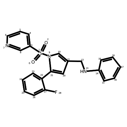 O=S(=O)(c1cccnc1)n1cc(CNc2ccccc2)cc1-c1ccccc1F